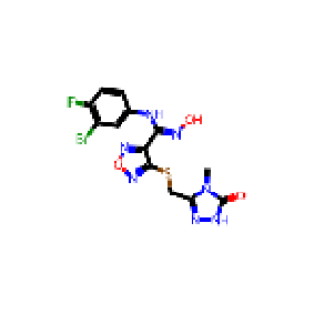 Cn1c(CSc2nonc2/C(=N/O)Nc2ccc(F)c(Br)c2)n[nH]c1=O